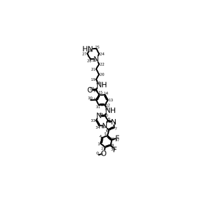 COc1ccc(-c2cnc3c(Nc4ccc(C(=O)NCCCCN5CCNCC5)c(C)c4)nccn23)c(F)c1F